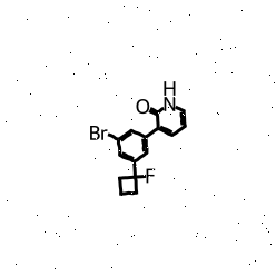 O=c1[nH]cccc1-c1cc(Br)cc(C2(F)CCC2)c1